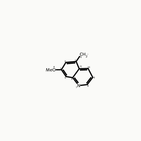 [CH2]c1cc(OC)cc2ncccc12